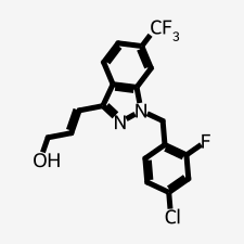 OCC=Cc1nn(Cc2ccc(Cl)cc2F)c2cc(C(F)(F)F)ccc12